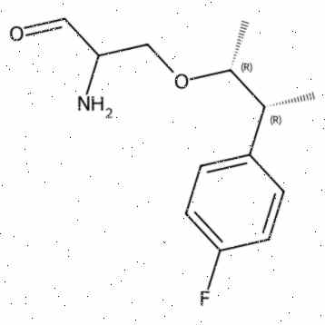 C[C@H](c1ccc(F)cc1)[C@@H](C)OCC(N)C=O